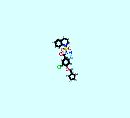 O=C(NS(=O)(=O)N1CCCc2ccccc21)c1cc(Cl)c(OCC2CCCC2)cc1F